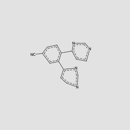 N#Cc1ccc(-c2ccncn2)c(-c2ccncn2)c1